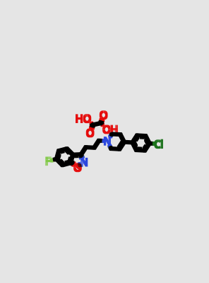 Fc1ccc2c(CCCN3CC=C(c4ccc(Cl)cc4)CC3)noc2c1.O=C(O)C(=O)O